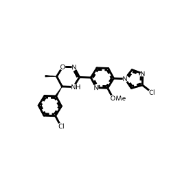 COc1nc(C2=NO[C@H](C)[C@H](c3cccc(Cl)c3)N2)ccc1-n1cnc(Cl)c1